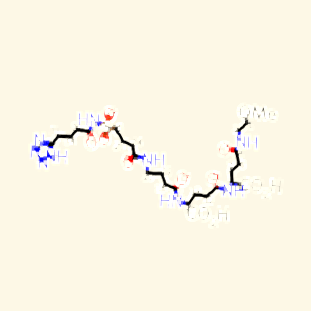 COCCNC(=O)CCC(NC(=O)CC[C@H](NC(=O)CCCNC(=O)CCCS(=O)(=O)NC(=O)CCCc1nnn[nH]1)C(=O)O)C(=O)O